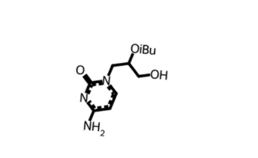 CC(C)COC(CO)Cn1ccc(N)nc1=O